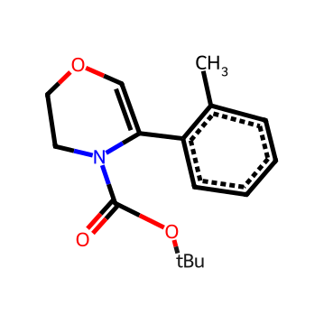 Cc1ccccc1C1=COCCN1C(=O)OC(C)(C)C